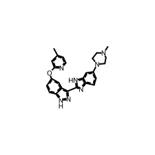 Cc1ccnc(Oc2ccc3[nH]nc(-c4nc5ccc(N6CCN(C)CC6)cc5[nH]4)c3c2)c1